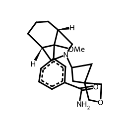 COC1(c2cccc(C(N)=O)c2)[C@@H]2CCC[C@H]1CN(C1CC3(COC3)C1)C2